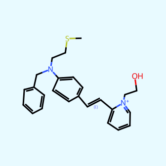 CSCCN(Cc1ccccc1)c1ccc(/C=C/c2cccc[n+]2CCO)cc1